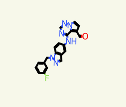 O=Cc1ccn2ncnc(Nc3ccc4c(cnn4Cc4cccc(F)c4)c3)c12